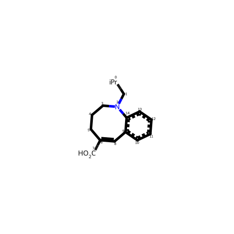 CC(C)CN1CCCC(C(=O)O)=Cc2ccccc21